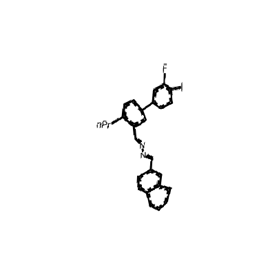 CCCc1ccc(-c2ccc(I)c(F)c2)cc1/C=N/N=C/c1ccc2ccccc2c1